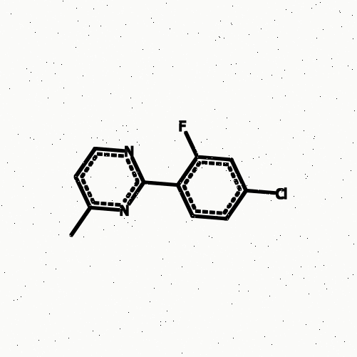 Cc1ccnc(-c2ccc(Cl)cc2F)n1